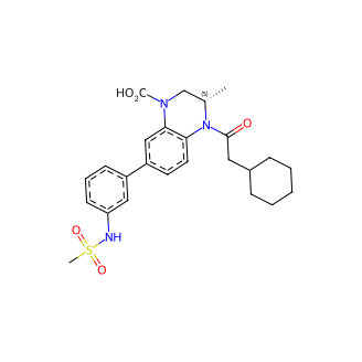 C[C@H]1CN(C(=O)O)c2cc(-c3cccc(NS(C)(=O)=O)c3)ccc2N1C(=O)CC1CCCCC1